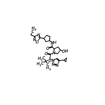 CCc1noc(C2CCC(NC(=O)C3CC(O)CN3C(=O)[C@@H](n3cc(C4CC4)nn3)C(C)(C)C)C2)n1